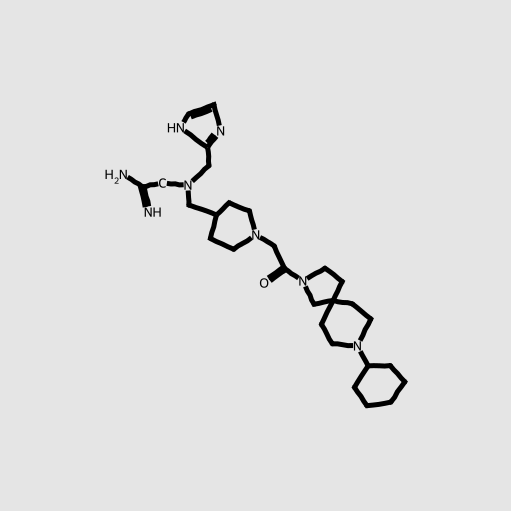 N=C(N)CN(Cc1ncc[nH]1)CC1CCN(CC(=O)N2CCC3(CCN(C4CCCCC4)CC3)C2)CC1